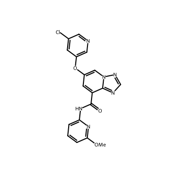 COc1cccc(NC(=O)c2cc(Oc3cncc(Cl)c3)cn3ncnc23)n1